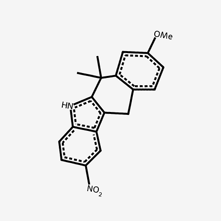 COc1ccc2c(c1)C(C)(C)c1[nH]c3ccc([N+](=O)[O-])cc3c1C2